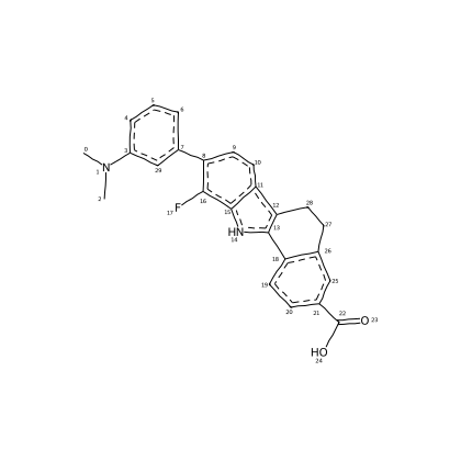 CN(C)c1cccc(-c2ccc3c4c([nH]c3c2F)-c2ccc(C(=O)O)cc2CC4)c1